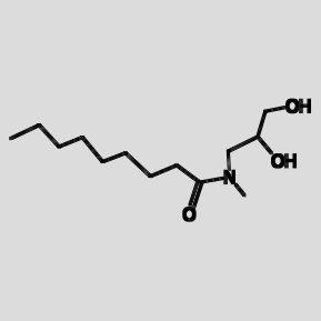 CCCCCCCCC(=O)N(C)CC(O)CO